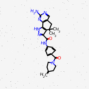 C=C1CCN(C(=O)c2ccc(NC(=O)c3n[nH]c4c3C(C)(C)Cc3cnc(N)nc3-4)cc2)CC1